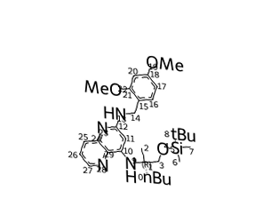 CCCC[C@](C)(CO[Si](C)(C)C(C)(C)C)Nc1cc(NCc2ccc(OC)cc2OC)nc2cccnc12